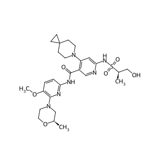 COc1ccc(NC(=O)c2cnc(NS(=O)(=O)[C@H](C)CO)cc2N2CCC3(CC2)CC3)nc1N1CCO[C@H](C)C1